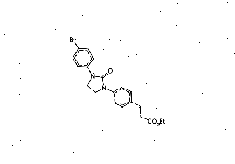 CCOC(=O)CCc1ccc(N2CCN(c3ccc(Br)cc3)C2=O)cc1